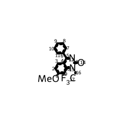 COc1ccc2c(-c3ccccc3)nc(=O)n(CC(F)(F)F)c2c1